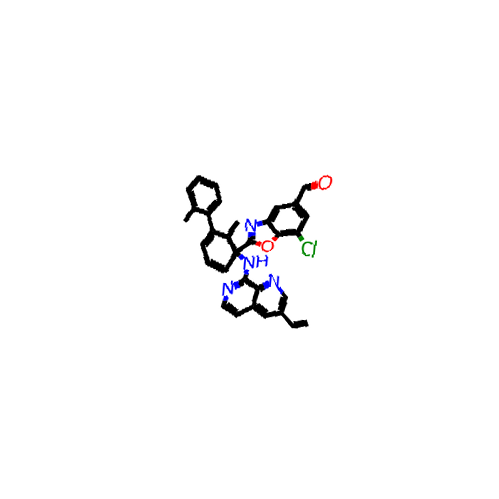 C=Cc1cnc2c(NC3(c4nc5cc(C=O)cc(Cl)c5o4)C=CC=C(c4ccccc4C)C3C)nccc2c1